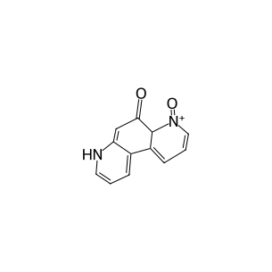 O=C1C=C2NC=CC=C2C2=CC=C[N+](=O)C12